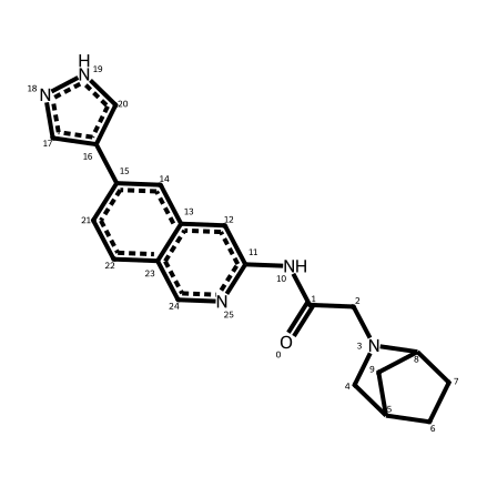 O=C(CN1CC2CCC1C2)Nc1cc2cc(-c3cn[nH]c3)ccc2cn1